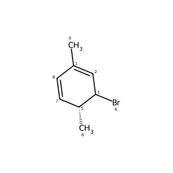 CC1=CC(Br)[C@H](C)C=C1